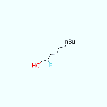 CCCCCCCC[C@@H](F)CO